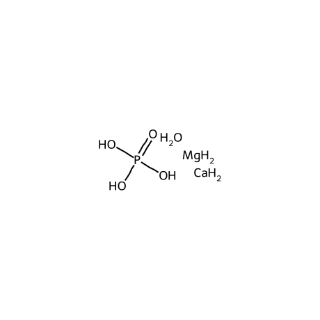 O.O=P(O)(O)O.[CaH2].[MgH2]